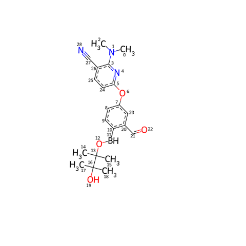 CN(C)c1nc(Oc2ccc(BOC(C)(C)C(C)(C)O)c(C=O)c2)ccc1C#N